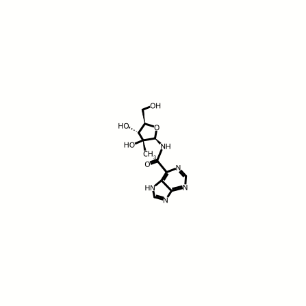 C[C@]1(O)[C@H](NC(=O)c2ncnc3nc[nH]c23)O[C@H](CO)[C@H]1O